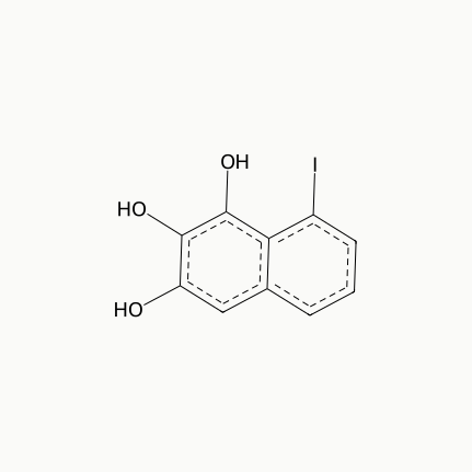 Oc1cc2cccc(I)c2c(O)c1O